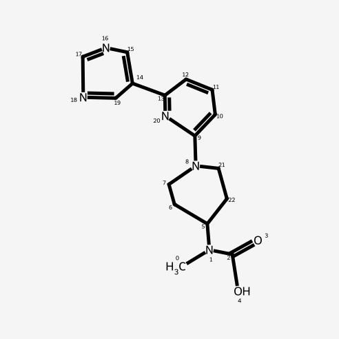 CN(C(=O)O)C1CCN(c2cccc(-c3cncnc3)n2)CC1